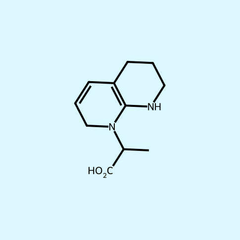 CC(C(=O)O)N1CC=CC2=C1NCCC2